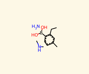 CCc1cc(C)ccc1B(O)O.CNC.N